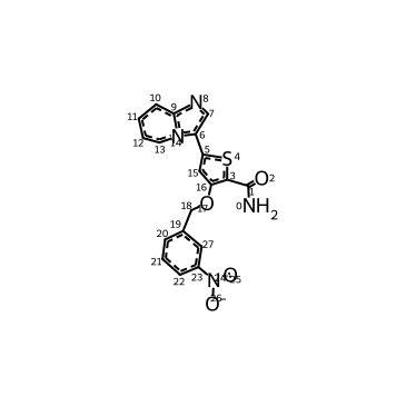 NC(=O)c1sc(-c2cnc3ccccn23)cc1OCc1cccc([N+](=O)[O-])c1